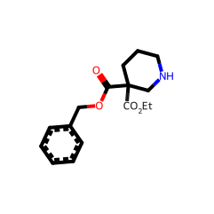 CCOC(=O)C1(C(=O)OCc2ccccc2)CCCNC1